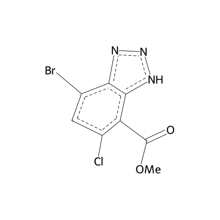 COC(=O)c1c(Cl)cc(Br)c2nn[nH]c12